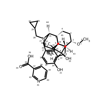 CO[C@@]12CC[C@@]3(C[C@@H]1[C@](C)(O)C(C)(C)C)[C@H]1Cc4ccc(O)c5c4[C@@]3(CCN1CC1CC1)[C@H]2O5.O=C(O)c1cccnc1